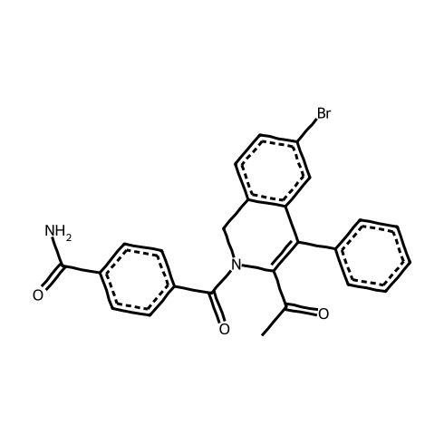 CC(=O)C1=C(c2ccccc2)c2cc(Br)ccc2CN1C(=O)c1ccc(C(N)=O)cc1